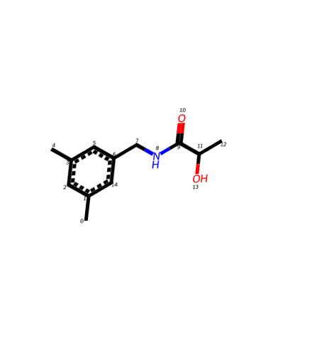 Cc1cc(C)cc(CNC(=O)C(C)O)c1